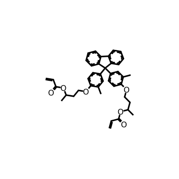 C=CC(=O)OC(C)CCOc1ccc(C2(c3ccc(OCCC(C)OC(=O)C=C)c(C)c3)c3ccccc3-c3ccccc32)cc1C